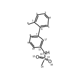 Cc1ccccc1-c1cccc(NS(C)(=O)=O)c1